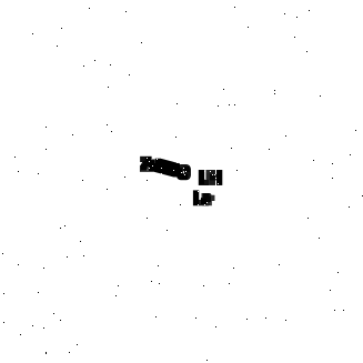 [La].[LiH].[O]=[Zr]